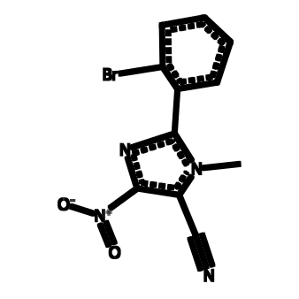 Cn1c(-c2ccccc2Br)nc([N+](=O)[O-])c1C#N